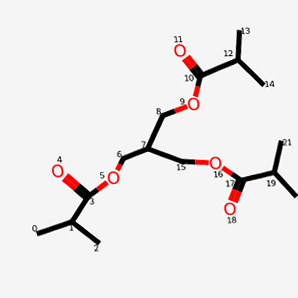 CC(C)C(=O)OCC(COC(=O)C(C)C)COC(=O)C(C)C